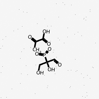 CC(=O)C(=O)O.O=CC(O)(CO)P(=O)=O